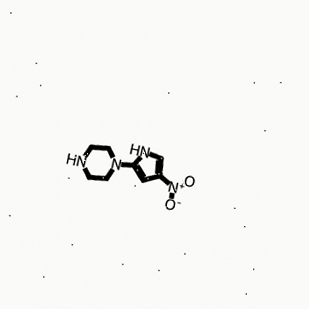 O=[N+]([O-])c1c[nH]c(N2CCNCC2)c1